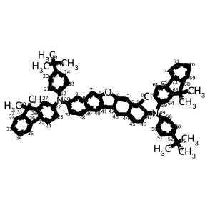 CC1=C2C=C3Oc4cc5cc(N(c6ccc(C(C)(C)C)cc6)c6ccc7c(c6)C(C)(C)c6ccccc6-7)ccc5cc4C3CC2=CCC1N(c1ccc(C(C)(C)C)cc1)c1ccc2c(c1)C(C)(C)c1ccccc1-2